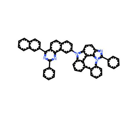 c1ccc(-c2nc(-c3ccc4ccccc4c3)c3ccc4ccc(-n5c6cccc7c8ccccc8n8c(-c9ccccc9)nc9ccc5c(c76)c98)cc4c3n2)cc1